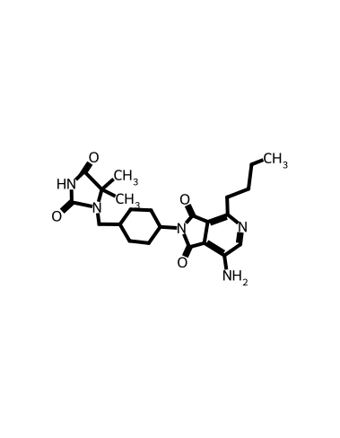 CCCCc1ncc(N)c2c1C(=O)N(C1CCC(CN3C(=O)NC(=O)C3(C)C)CC1)C2=O